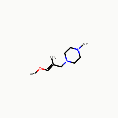 CCCO/C=C(\C)CN1CCN(CCC)CC1